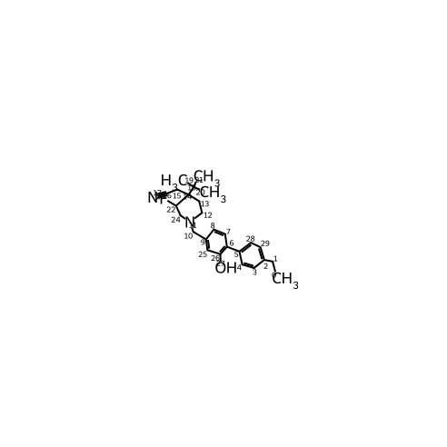 CCc1ccc(-c2ccc(CN3CCC(CC#N)(C(C)(C)C)C(F)C3)cc2O)cc1